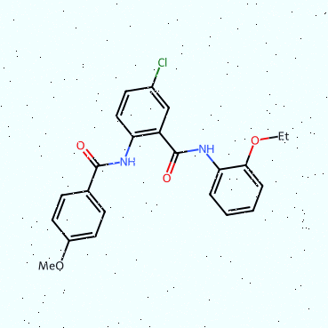 CCOc1ccccc1NC(=O)c1cc(Cl)ccc1NC(=O)c1ccc(OC)cc1